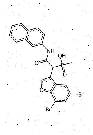 CP(=O)(O)C(C(=O)Nc1ccc2ccccc2c1)c1coc2c(Br)cc(Br)cc12